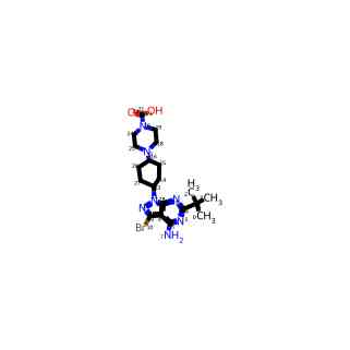 CC(C)(C)c1nc(N)c2c(Br)nn(C3CCC(N4CCN(C(=O)O)CC4)CC3)c2n1